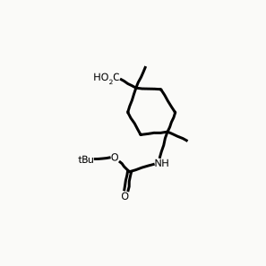 CC1(NC(=O)OC(C)(C)C)CCC(C)(C(=O)O)CC1